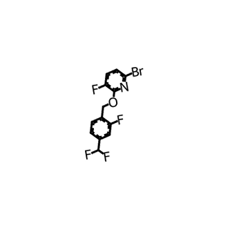 Fc1cc(C(F)F)ccc1COc1nc(Br)ccc1F